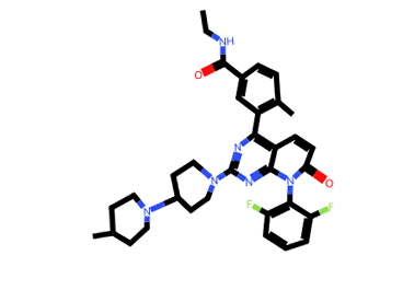 CCNC(=O)c1ccc(C)c(-c2nc(N3CCC(N4CCC(C)CC4)CC3)nc3c2ccc(=O)n3-c2c(F)cccc2F)c1